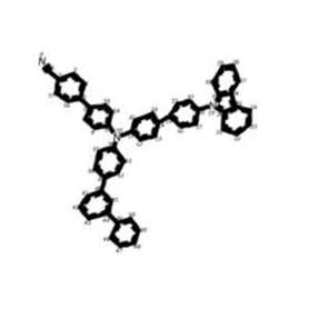 N#Cc1ccc(-c2ccc(N(c3ccc(-c4ccc(-n5c6ccccc6c6ccccc65)cc4)cc3)c3ccc(-c4cccc(-c5ccccc5)c4)cc3)cc2)cc1